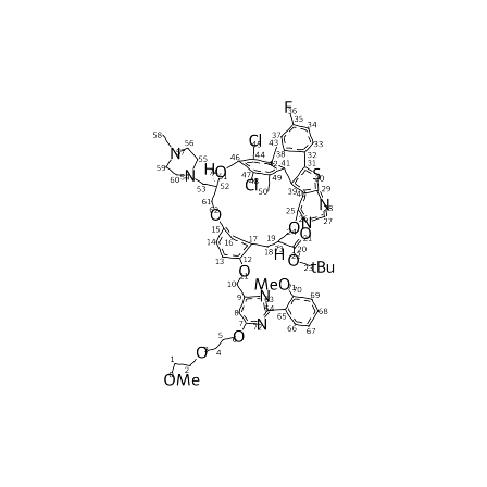 COCCOCCOc1cc(COc2ccc3cc2C[C@H](C(=O)OC(C)(C)C)Oc2ncnc4sc(-c5ccc(F)cc5)c(c24)-c2c(C)c(Cl)c(c(Cl)c2C)O[C@H](CN2CCN(C)CC2)CO3)nc(-c2ccccc2OC)n1